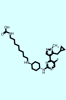 Cn1ncc(-c2nc(N[C@H]3CC[C@H](NCCCCCCCCNC(=O)O)CC3)ncc2F)c1CC1CC1